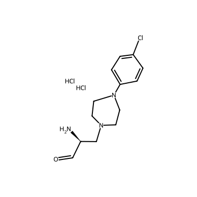 Cl.Cl.N[C@H](C=O)CN1CCN(c2ccc(Cl)cc2)CC1